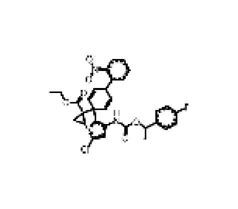 CCOC(=O)C1(C2(c3sc(Cl)cc3NC(=O)O[C@H](C)c3ccc(F)cc3)C=CC(c3ccccc3[N+](=O)[O-])C=C2)CC1